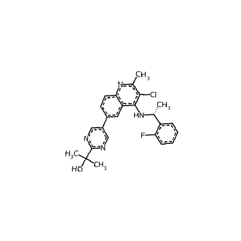 Cc1nc2ccc(-c3cnc(C(C)(C)O)nc3)cc2c(N[C@H](C)c2ccccc2F)c1Cl